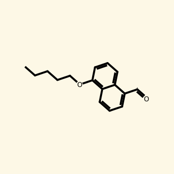 CCCCCOc1cccc2c([C]=O)cccc12